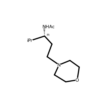 CC(=O)N[C@H](CCN1CCOCC1)C(C)C